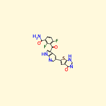 NC(=O)c1ccc(F)c(C(=O)c2c[nH]c3ncc(-c4cc5c(=O)nc[nH]c5s4)cc23)c1F